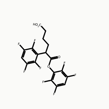 O=C(O)CCCC(C(=O)Oc1c(F)c(F)cc(F)c1F)c1c(F)c(F)cc(F)c1F